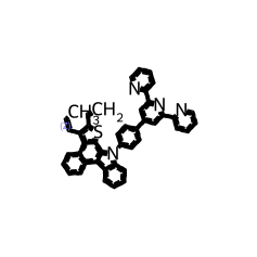 C=Cc1sc2c(c1/C=C\C)c1ccccc1c1c3ccccc3n(-c3ccc(-c4cc(-c5ccccn5)nc(-c5ccccn5)c4)cc3)c21